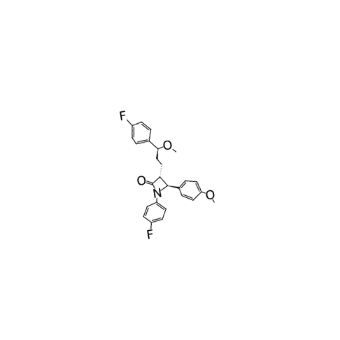 COc1ccc([C@@H]2[C@@H](CC[C@H](OC)c3ccc(F)cc3)C(=O)N2c2ccc(F)cc2)cc1